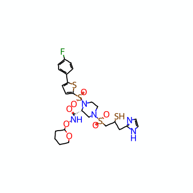 O=C(NOC1CCCCO1)[C@H]1CN(S(=O)(=O)CC(S)Cc2ncc[nH]2)CCN1S(=O)(=O)c1ccc(-c2ccc(F)cc2)s1